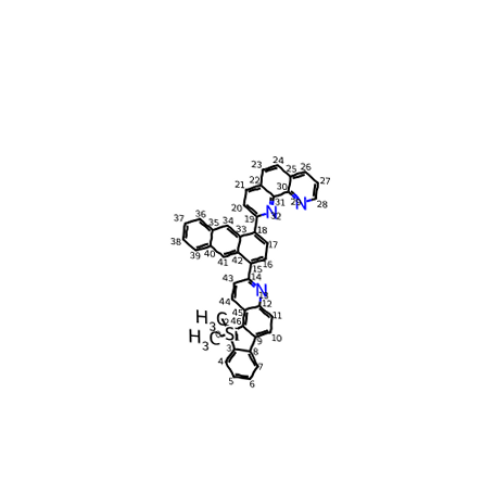 C[Si]1(C)c2ccccc2-c2ccc3nc(-c4ccc(-c5ccc6ccc7cccnc7c6n5)c5cc6ccccc6cc45)ccc3c21